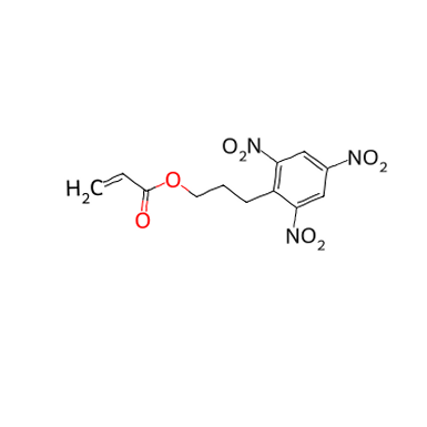 C=CC(=O)OCCCc1c([N+](=O)[O-])cc([N+](=O)[O-])cc1[N+](=O)[O-]